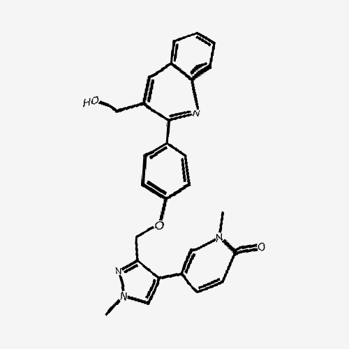 Cn1cc(-c2ccc(=O)n(C)c2)c(COc2ccc(-c3nc4ccccc4cc3CO)cc2)n1